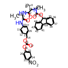 CC(C)[C@@H](C(=O)N[C@@H](C)C(=O)Nc1ccc(COC(=O)Oc2ccc([N+](=O)[O-])cc2)cc1)N(C)C(=O)OC1c2ccccc2-c2ccccc21